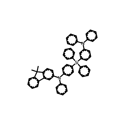 CC1(C)c2ccccc2-c2cc(N(c3ccccc3)c3ccc([Si](c4ccccc4)(c4ccccc4)c4cccc(N(c5ccccc5)c5ccccc5)c4)cc3)ccc21